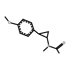 COc1ccc(C2CC2N(C)C(C)=O)cc1